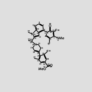 CNc1c(F)cn(-c2ccnc3c2cc([C@H](C)N2CC=C(c4c(C)cc(C(=O)OC)cc4F)CC2)n3C)c(=O)c1F